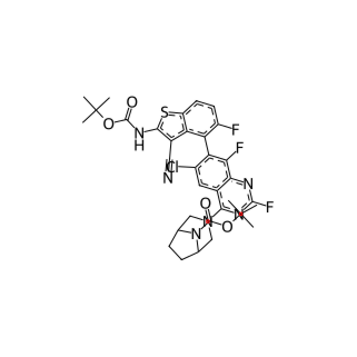 CC(C)(C)OC(=O)Nc1sc2ccc(F)c(-c3c(Cl)cc4c(N5CC6CCC(C5)N6C(=O)OC(C)(C)C)nc(F)nc4c3F)c2c1C#N